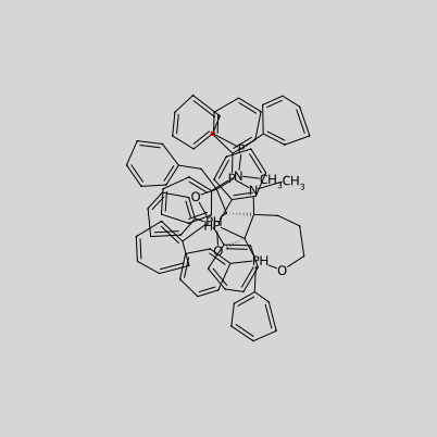 CN(P(c1ccccc1)c1ccccc1)C1(Cc2ccccc2)O[PH](c2ccccc2)(c2ccccc2)[C@H]1C1(N(C)P(c2ccccc2)c2ccccc2)CCCO[PH](c2ccccc2)(c2ccccc2)[C@]12O[PH]2(c1ccccc1)c1ccccc1